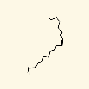 CCCCC(CO)CCCC/C=C\CCCCCCCCC(N)=O